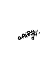 Nc1ncnc2c1c(C(=O)c1cccc(NS(=O)(=O)c3cccc(Oc4ccccc4)c3)c1)cn2C1CCCC1